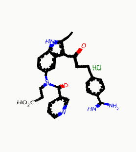 Cc1[nH]c2ccc(N(CCC(=O)O)C(=O)c3cccnc3)cc2c1C(=O)CCc1ccc(C(=N)N)cc1.Cl